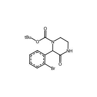 CC(C)(C)OC(=O)N1CCNC(=O)C1c1ccccc1Br